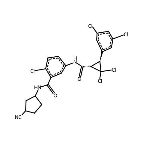 N#CC1CCC(NC(=O)c2cc(NC(=O)[C@@H]3[C@@H](c4cc(Cl)cc(Cl)c4)C3(Cl)Cl)ccc2Cl)C1